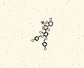 COc1ccc(COc2ccc(C(=O)C(=O)N(C(=O)OC(C)(C)C)[C@@H]3CCCNC3=O)c(Cl)c2OCc2ccc(OC)cc2)cc1